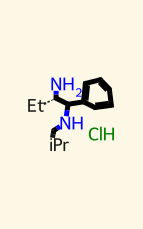 CC[C@H](N)C(NCC(C)C)c1ccccc1.Cl